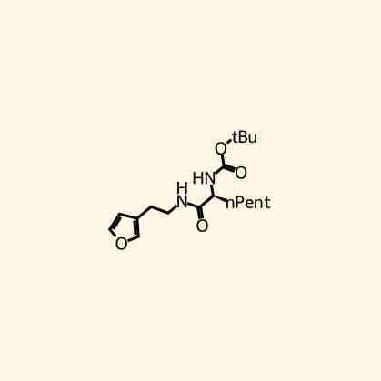 CCCCC[C@H](NC(=O)OC(C)(C)C)C(=O)NCCc1ccoc1